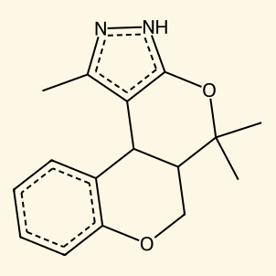 Cc1n[nH]c2c1C1c3ccccc3OCC1C(C)(C)O2